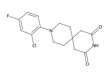 O=C1CC2(CCN(c3ccc(F)cc3Cl)CC2)CC(=O)N1